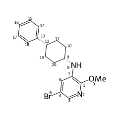 COc1ncc(Br)cc1N[C@H]1CC[C@@H](c2ccccc2)CC1